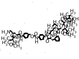 CC[C@H](C)[C@@H]([C@@H](CC(=O)N1CCC[C@H]1[C@H](O)[C@@H](C)C(=O)N[C@@H](Cc1ccccc1)C(=O)Nc1ccc(NC(=O)OCc2ccc(NC(=O)[C@H](CCCN)NC(=O)[C@@H](NC(C)=O)C(C)C)cc2)cc1)OC)N(C)C(=O)[C@H](NC(=O)C(C(C)C)N(C)C)C(C)C